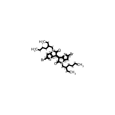 CCCCC(CC)CN1C(=O)/C(=C2/C(=O)N(CC(CC)CCCC)c3cc(Br)sc32)c2sc(Br)cc21